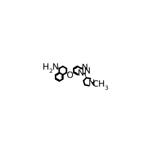 CN1CCC[C@@H](c2nnc3ccc(O[C@@H]4CC[C@H](N)c5ccccc54)cn23)C1